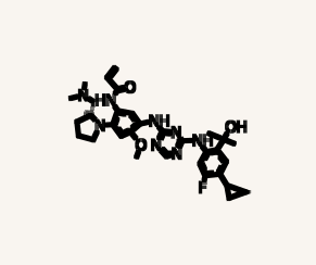 C=CC(=O)Nc1cc(Nc2ncnc(Nc3cc(F)c(C4CC4)cc3C(C)(C)O)n2)c(OC)cc1N1CCC[C@@H]1CN(C)C